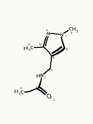 CC(=O)NCc1cn(C)nc1C